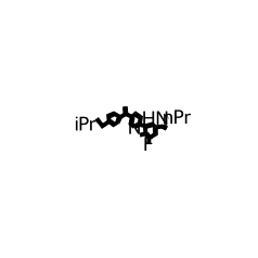 C=C(NCCC)c1cc(F)c(C)c(-c2ccc(C(=C)c3ccc(CCC(C)C)cc3)cn2)c1